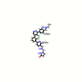 COc1cc(-c2nccc(-c3cccc(-c4ccc(CNC[C@H]5CCC(=O)N5)c(OC)n4)c3Cl)c2Cl)cc(F)c1CNCC(C)C